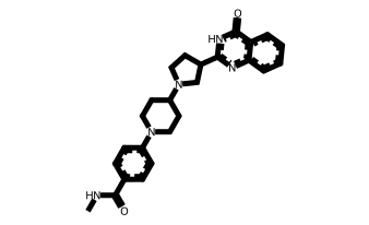 CNC(=O)c1ccc(N2CCC(N3CCC(c4nc5ccccc5c(=O)[nH]4)C3)CC2)cc1